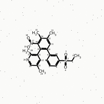 CCS(=O)(=O)c1cccc(-c2cc(C)c(C)c([N+](=O)[O-])c2-c2cc(C)cnc2C)c1